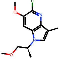 COC[C@H](C)n1cc(C)c2nc(Cl)c(OC)cc21